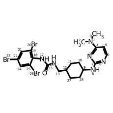 CN(C)c1ccnc(NC2CCC(CNC(=O)Nc3c(Br)cc(Br)cc3Br)CC2)n1